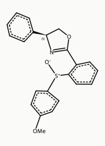 COc1ccc([S+]([O-])c2ccccc2C2=N[C@@H](c3ccccc3)CO2)cc1